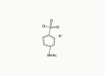 CC(=O)Nc1ccc(S(=O)(=O)[O-])cc1.[K+]